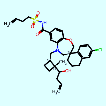 C=CCCS(=O)(=O)NC(=O)c1ccc2c(c1)N(C[C@@H]1CC[C@@]1(C)C(O)CC=C)C[C@@]1(CCCc3cc(Cl)ccc31)CO2